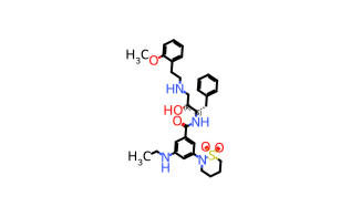 CCNc1cc(C(=O)N[C@@H](Cc2ccccc2)[C@H](O)CNCCc2ccccc2OC)cc(N2CCCCS2(=O)=O)c1